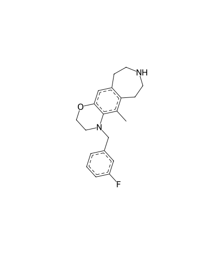 Cc1c2c(cc3c1N(Cc1cccc(F)c1)CCO3)CCNCC2